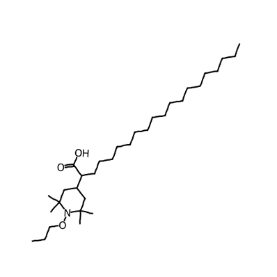 CCCCCCCCCCCCCCCCCCC(C(=O)O)C1CC(C)(C)N(OCCC)C(C)(C)C1